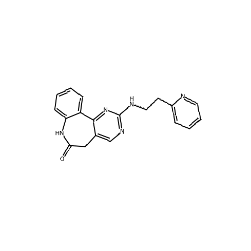 O=C1Cc2cnc(NCCc3ccccn3)nc2-c2ccccc2N1